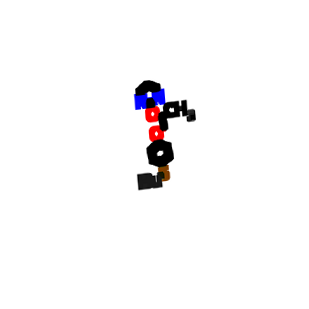 CCC(C)Sc1ccc(OCC(C)Oc2ncccn2)cc1